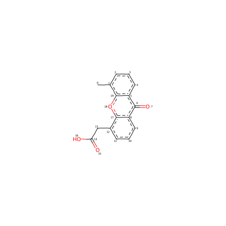 Cc1cccc2c(=O)c3cccc(CC(=O)O)c3oc12